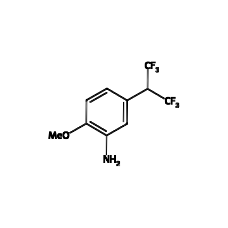 COc1ccc(C(C(F)(F)F)C(F)(F)F)cc1N